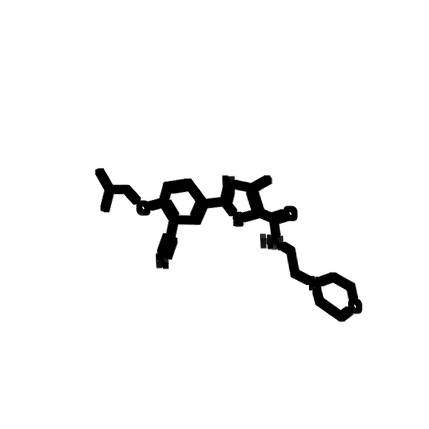 Cc1nc(-c2ccc(OCC(C)C)c(C#N)c2)sc1C(=O)NCCN1CCOCC1